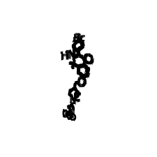 CC1(C)c2cc(OCC3CCN(C4CN(S(C)(=O)=O)C4)CC3)ccc2C(=O)c2c1[nH]c1cc(Br)ccc21